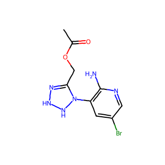 CC(=O)OCC1=NNNN1c1cc(Br)cnc1N